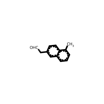 Cc1cccc2cc(CC=O)ccc12